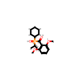 COc1cccc(OC)c1C(=O)P(=O)(C(C)C)C1CCCCC1